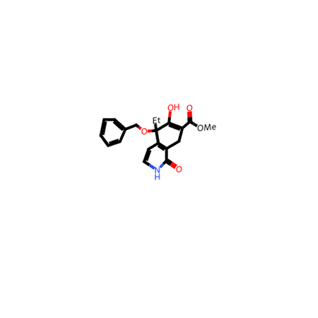 CCC1(OCc2ccccc2)C(O)=C(C(=O)OC)Cc2c1cc[nH]c2=O